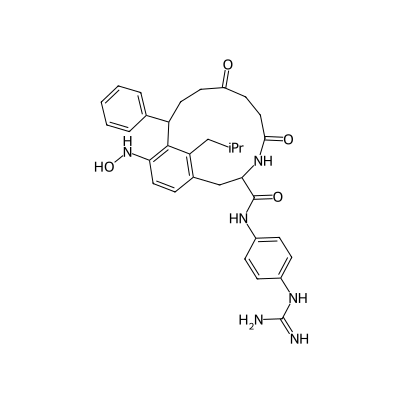 CC(C)Cc1c2ccc(NO)c1C(c1ccccc1)CCC(=O)CCC(=O)NC(C(=O)Nc1ccc(NC(=N)N)cc1)C2